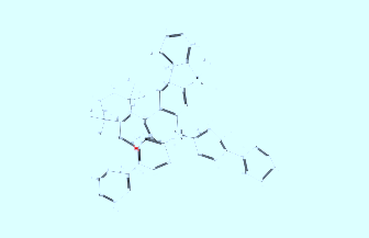 Cc1ccc2c(c1-c1cc3c(cc1N(c1ccc(-c4ccccc4)cc1)c1ccc(-c4ccccc4)cc1)C(C)(C)c1ccccc1-3)C(C)(C)CCC2(C)C